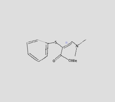 COC(=O)/C(=C\N(C)C)Sc1ccccc1